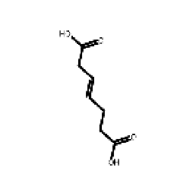 O=C(O)CC=CCCC(=O)O